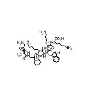 C[C@H](NC(=O)CN)C(=O)NCC(=O)N1CCCC[C@H]1C(=O)N[C@@H](CCCCN)C(=O)N[C@@H](Cc1c[nH]c2ccccc12)C(=O)N[C@@H](CCCCN)C(=O)N[C@@H](CCCCN)C(=O)O